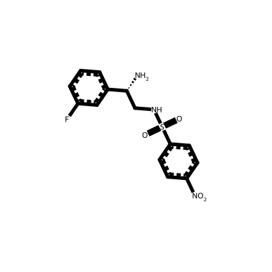 N[C@H](CNS(=O)(=O)c1ccc([N+](=O)[O-])cc1)c1cccc(F)c1